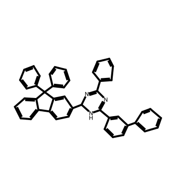 c1ccc(C2=NC(c3ccc4c(c3)C(c3ccccc3)(c3ccccc3)c3ccccc3-4)NC(c3cccc(-c4ccccc4)c3)=N2)cc1